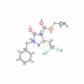 CCOC(=O)N1C(=O)N(Cc2ccccc2)CC1C=C(F)F